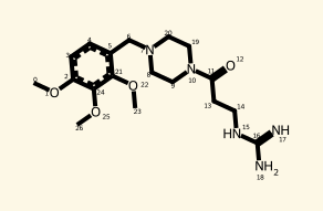 COc1ccc(CN2CCN(C(=O)CCNC(=N)N)CC2)c(OC)c1OC